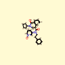 O=C(NCCc1ccccc1)[C@@H]1c2ccccc2C(=O)N(C2CCCC2)[C@H]1c1cc[n+]([O-])cc1